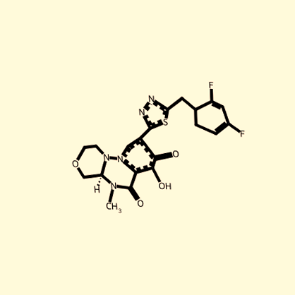 CN1C(=O)c2c(O)c(=O)c(-c3nnc(CC4CC=C(F)C=C4F)s3)cn2N2CCOC[C@H]12